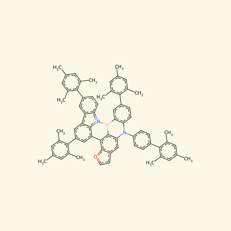 Cc1cc(C)c(-c2ccc(N3c4ccc(-c5c(C)cc(C)cc5C)cc4B4c5c3cc3ccoc3c5-c3cc(-c5c(C)cc(C)cc5C)cc5c6cc(-c7c(C)cc(C)cc7C)ccc6n4c35)cc2)c(C)c1